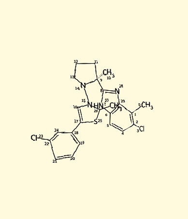 Cc1c(Cl)ccc2[nH]c([C@]3(C)CCCN3N3[C]=C(c4cccc(Cl)c4)SC3C)nc12